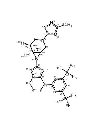 Cc1nnc(N2C[C@@H]3CC[C@]4(C2)[C@H]3N4c2nc3n(n2)CCCC3c2cc(C(F)(F)F)cc(C(F)(F)F)c2)o1